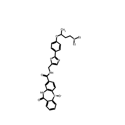 CCN(CC)CCC(C)Oc1ccc(-c2ncc(CNC(=O)c3ccc4c(c3)NC(=O)c3ccccc3[S+]4[O-])s2)cc1